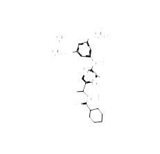 COc1cc(Nc2ncc(C(C)NC(=O)C3CCCCC3)nn2)cc(OC)c1OC